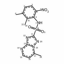 Cc1ccc([N+](=O)[O-])c(NS(=O)(=O)c2nc3nccc(C)n3n2)c1C